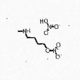 CNCCCCO[N+](=O)[O-].O=[N+]([O-])O